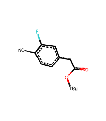 CC(C)(C)OC(=O)Cc1ccc(C#N)c(F)c1